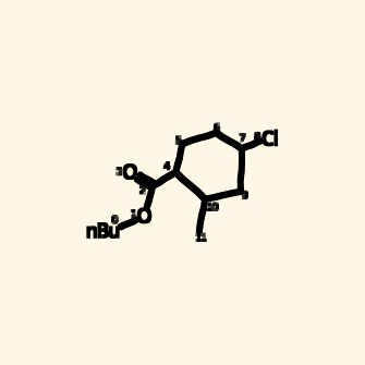 CCCCOC(=O)C1CCC(Cl)CC1C